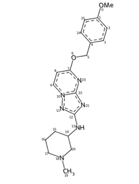 COc1ccc(COc2ccn3nc(NC4CCCN(C)C4)nc3n2)cc1